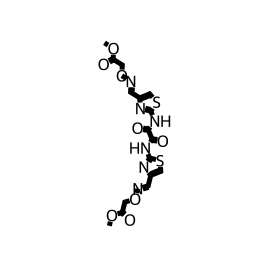 COC(=O)CO/N=C/c1csc(NC(=O)C(=O)Nc2nc(/C=N/OCC(=O)OC)cs2)n1